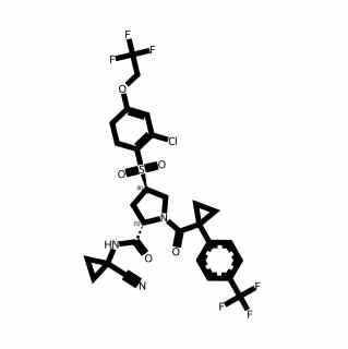 N#CC1(NC(=O)[C@@H]2C[C@@H](S(=O)(=O)C3=C(Cl)C=C(OCC(F)(F)F)CC3)CN2C(=O)C2(c3ccc(C(F)(F)F)cc3)CC2)CC1